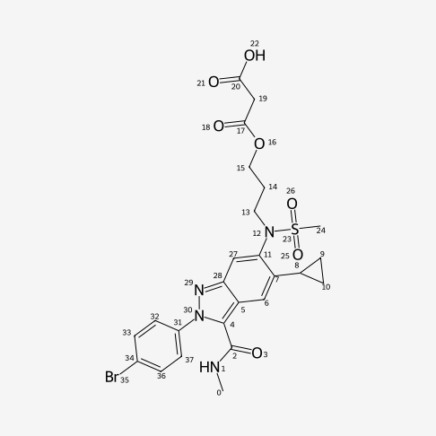 CNC(=O)c1c2cc(C3CC3)c(N(CCCOC(=O)CC(=O)O)S(C)(=O)=O)cc2nn1-c1ccc(Br)cc1